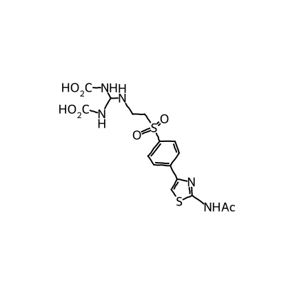 CC(=O)Nc1nc(-c2ccc(S(=O)(=O)CCNC(NC(=O)O)NC(=O)O)cc2)cs1